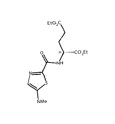 CCOC(=O)CC[C@@H](NC(=O)c1ncc(NC)s1)C(=O)OCC